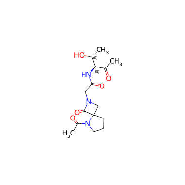 CC(=O)[C@@H](NC(=O)CN1CC2(CCCN2C(C)=O)C1=O)[C@@H](C)O